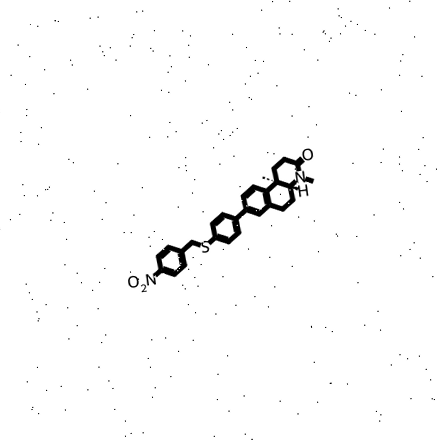 CN1C(=O)CC[C@]2(C)c3ccc(-c4ccc(SCc5ccc([N+](=O)[O-])cc5)cc4)cc3CC[C@@H]12